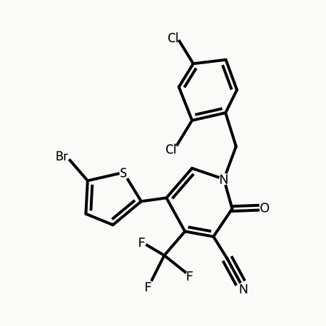 N#Cc1c(C(F)(F)F)c(-c2ccc(Br)s2)cn(Cc2ccc(Cl)cc2Cl)c1=O